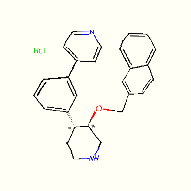 Cl.c1cc(-c2ccncc2)cc([C@H]2CCNC[C@@H]2OCc2ccc3ccccc3c2)c1